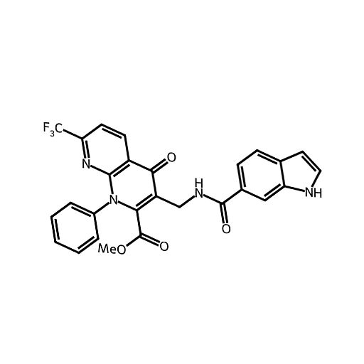 COC(=O)c1c(CNC(=O)c2ccc3cc[nH]c3c2)c(=O)c2ccc(C(F)(F)F)nc2n1-c1ccccc1